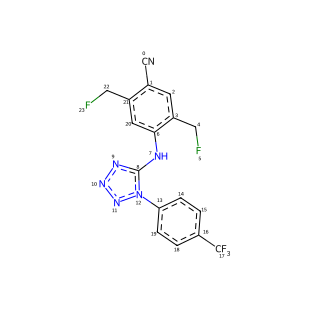 N#Cc1cc(CF)c(Nc2nnnn2-c2ccc(C(F)(F)F)cc2)cc1CF